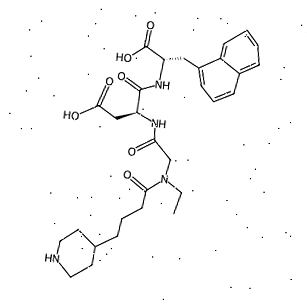 CCN(CC(=O)N[C@@H](CC(=O)O)C(=O)N[C@@H](Cc1cccc2ccccc12)C(=O)O)C(=O)CCCC1CCNCC1